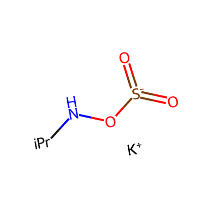 CC(C)NO[S-](=O)=O.[K+]